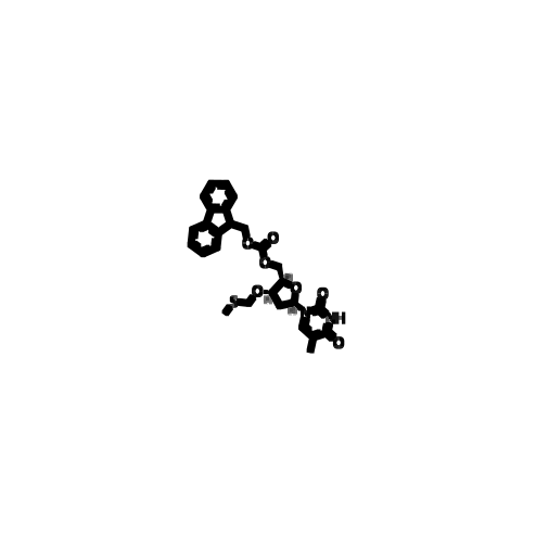 CSCO[C@H]1C[C@H](n2cc(C)c(=O)[nH]c2=O)O[C@@H]1COC(=O)OCC1c2ccccc2-c2ccccc21